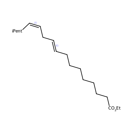 CCCC(C)/C=C\C/C=C/CCCCCCCC(=O)OCC